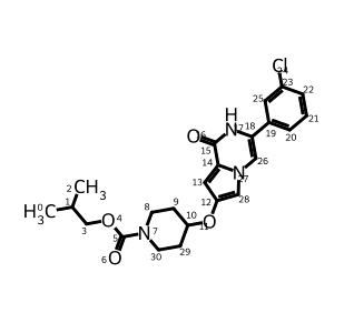 CC(C)COC(=O)N1CCC(Oc2cc3c(=O)[nH]c(-c4cccc(Cl)c4)cn3c2)CC1